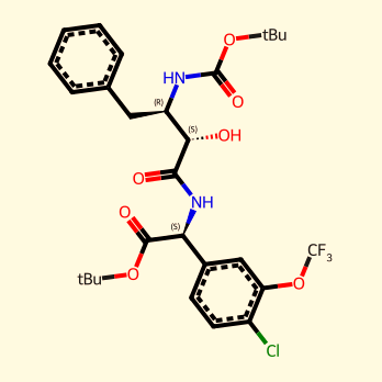 CC(C)(C)OC(=O)N[C@H](Cc1ccccc1)[C@H](O)C(=O)N[C@H](C(=O)OC(C)(C)C)c1ccc(Cl)c(OC(F)(F)F)c1